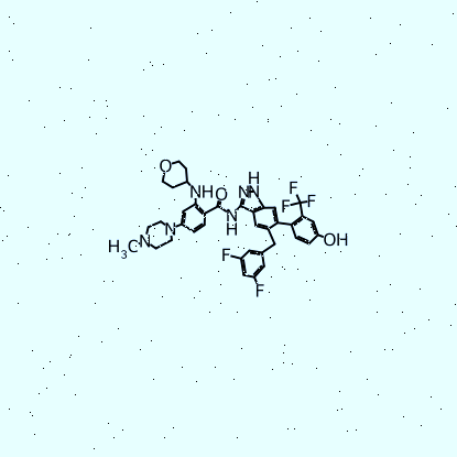 CN1CCN(c2ccc(C(=O)Nc3n[nH]c4cc(-c5ccc(O)cc5C(F)(F)F)c(Cc5cc(F)cc(F)c5)cc34)c(NC3CCOCC3)c2)CC1